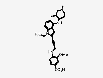 COc1cc(C(=O)O)ccc1NCC#Cc1cc2c(NC3CCN(C)CC3F)cccc2n1CC(F)(F)F